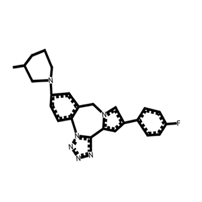 CC1CCCN(c2ccc3c(c2)Cn2cc(-c4ccc(F)cc4)cc2-c2nnnn2-3)C1